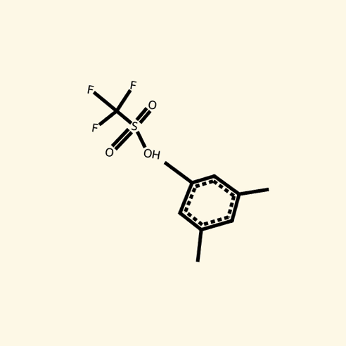 Cc1cc(C)cc(C)c1.O=S(=O)(O)C(F)(F)F